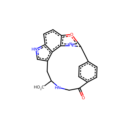 O=C1CNC(C(=O)O)Cc2c[nH]c3ccc4oc(nc4c23)-c2ccc1cc2